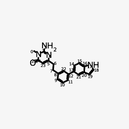 Cn1c(N)nc(CCc2cccc(-c3ccc4[nH]ccc4c3)c2)cc1=O